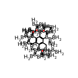 BBB(B)B(Cc1c(B(B(B)B)B(B)B(B)B)c(CC)c(B(B(B)BB)B(B(B)B)B(B)B)c(B(B(B)B)B(B(B)B)B(B)B)c1B(B(B)B)B(BB)B(B)B)B(B)B